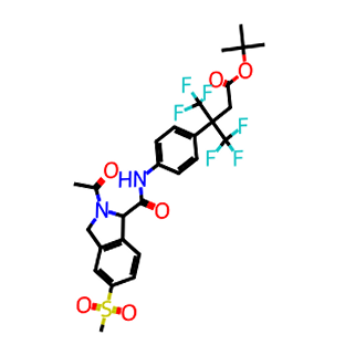 CC(=O)N1Cc2cc(S(C)(=O)=O)ccc2C1C(=O)Nc1ccc(C(CC(=O)OC(C)(C)C)(C(F)(F)F)C(F)(F)F)cc1